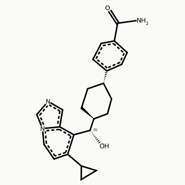 NC(=O)c1ccc([C@H]2CC[C@H]([C@H](O)c3c(C4CC4)ccn4cncc34)CC2)cc1